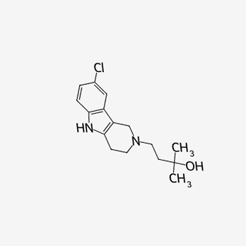 CC(C)(O)CCN1CCc2[nH]c3ccc(Cl)cc3c2C1